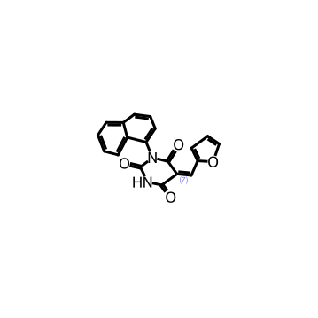 O=C1NC(=O)N(c2cccc3ccccc23)C(=O)/C1=C\c1ccco1